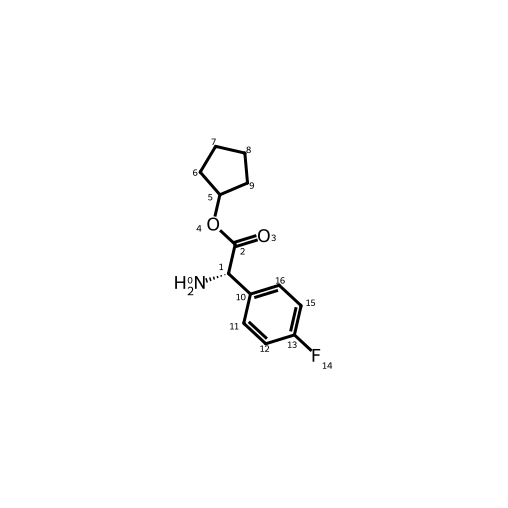 N[C@H](C(=O)OC1CCCC1)c1ccc(F)cc1